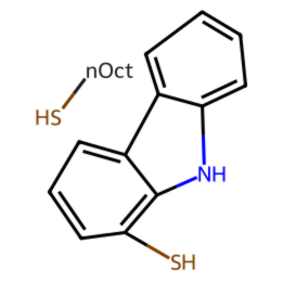 CCCCCCCCS.Sc1cccc2c1[nH]c1ccccc12